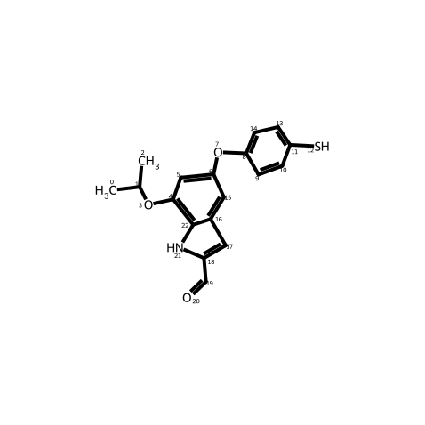 CC(C)Oc1cc(Oc2ccc(S)cc2)cc2cc(C=O)[nH]c12